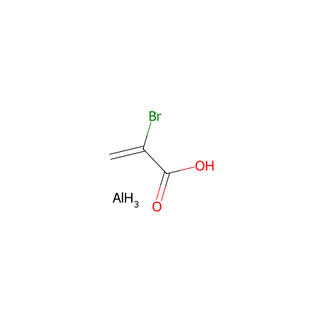 C=C(Br)C(=O)O.[AlH3]